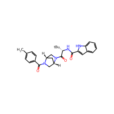 Cc1ccc(C(=O)N2C[C@@H]3C[C@H]2CN3C(=O)[C@@H](NC(=O)c2cc3ccccc3[nH]2)C(C)(C)C)cc1